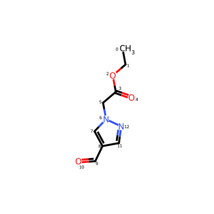 CCOC(=O)Cn1cc(C=O)cn1